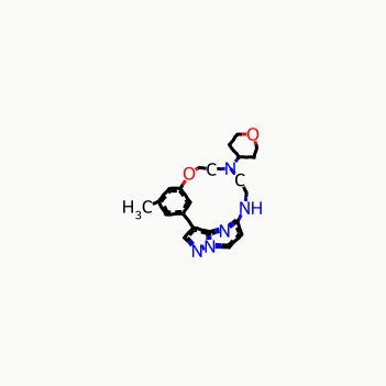 Cc1cc2cc(c1)-c1cnn3ccc(nc13)NCCN(C1CCOCC1)CCO2